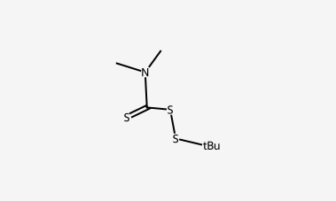 CN(C)C(=S)SSC(C)(C)C